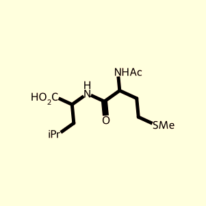 CSCCC(NC(C)=O)C(=O)NC(CC(C)C)C(=O)O